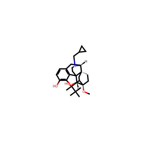 CO[C@]12CC[C@@]3(CC1C(C)(O)C(C)(C)C)[C@H]1Cc4ccc(O)c5c4C3(CCN1CC1CC1)[C@H]2O5